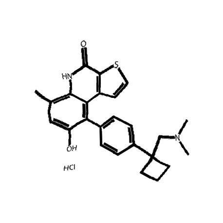 Cc1cc(O)c(-c2ccc(C3(CN(C)C)CCC3)cc2)c2c1[nH]c(=O)c1sccc12.Cl